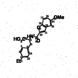 CCc1ccc(CC(NC(=O)c2cc3cc(OC)ccc3o2)C(=O)O)cc1